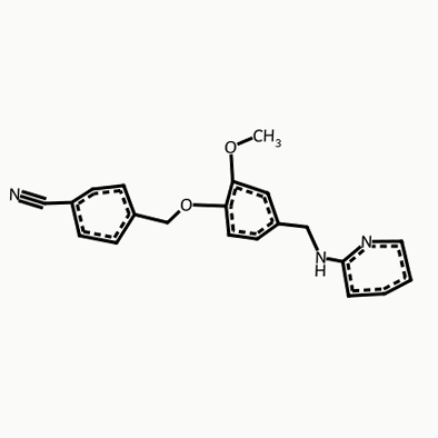 COc1cc(CNc2ccccn2)ccc1OCc1ccc(C#N)cc1